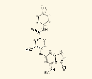 CCNc1nc(Nc2ccc(C(=O)NC3CCN(C)CC3)cc2OC)nc2[nH]cc(C#N)c12